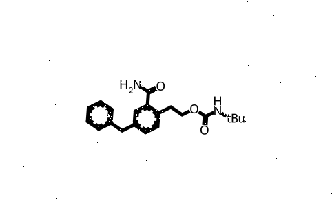 CC(C)(C)NC(=O)OCCc1ccc(Cc2ccccc2)cc1C(N)=O